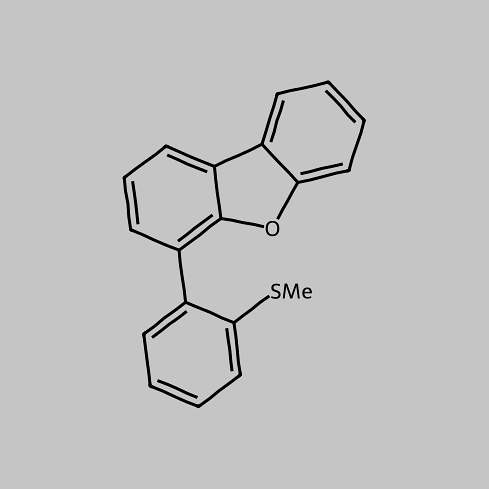 CSc1ccccc1-c1cccc2c1oc1ccccc12